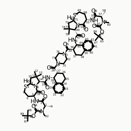 C[C@@H](C(=O)N[C@H]1CCS[C@H]2CC(C)(C)[C@@H](C(=O)N[C@H]3c4ccccc4CC[C@H]3C(=O)N3CCN(C(=O)[C@@H]4CCc5ccccc5[C@@H]4NC(=O)[C@H]4N5C(=O)[C@@H](NC(=O)[C@H](C)N(C)C(=O)OC(C)(C)C)CCS[C@H]5CC4(C)C)CC3)N2C1=O)N(C)C(=O)OC(C)(C)C